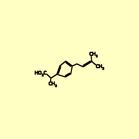 CC(C)=CCc1ccc(C(C)C(=O)O)cc1